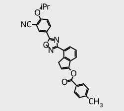 Cc1ccc(C(=O)OC2=CCc3c2cccc3-c2noc(-c3ccc(OC(C)C)c(C#N)c3)n2)cc1